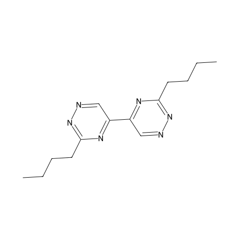 CCCCc1nncc(-c2cnnc(CCCC)n2)n1